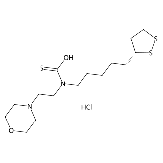 Cl.OC(=S)N(CCCCC[C@@H]1CCSS1)CCN1CCOCC1